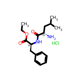 CCOC(=O)[C@H](Cc1ccccc1)NC(=O)[C@@H](N)CC(C)C.Cl